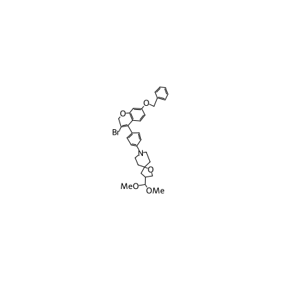 COC(OC)C1COC2(CCN(c3ccc(C4=C(Br)COc5cc(OCc6ccccc6)ccc54)cc3)CC2)C1